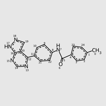 Cc1ccc(C(=O)Nc2ccc(-c3ncnc4[nH]ncc34)cc2)cc1